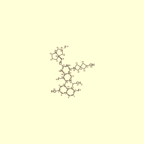 CCc1c(F)ccc2cc(O)cc(-c3ncc4c(N5CC6(CC(O)C6)C5)nc(OC[C@@]56CCCN5C[C@H](F)C6)nc4c3F)c12